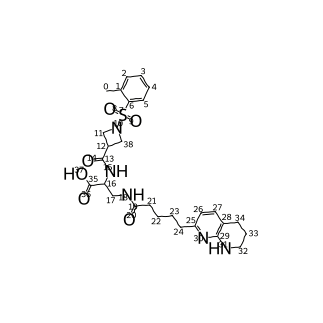 Cc1ccccc1S(=O)(=O)N1CC(C(=O)NC(CNC(=O)CCCCc2ccc3c(n2)NCCC3)C(=O)O)C1